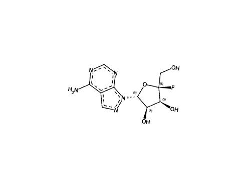 Nc1ncnc2c1cnn2[C@@H]1O[C@](F)(CO)[C@@H](O)[C@H]1O